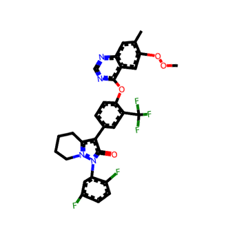 COOc1cc2c(Oc3ccc(-c4c5n(n(-c6cc(F)ccc6F)c4=O)CCCC5)cc3C(F)(F)F)ncnc2cc1C